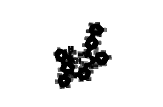 CC1(C)c2ccccc2-c2cc(-c3ccccc3)c(Nc3cccc(CNC(c4ccccc4)N4NC4c4ccc(-c5ccccc5)cc4)c3)cc21